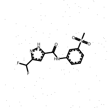 CS(=O)(=O)c1cccc(NC(=O)c2cc(C(F)F)n[nH]2)c1